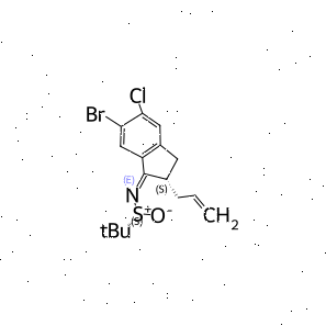 C=CC[C@H]1Cc2cc(Cl)c(Br)cc2/C1=N/[S@+]([O-])C(C)(C)C